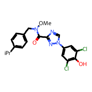 CON(Cc1ccc(C(C)C)cc1)C(=O)c1ncn(-c2cc(Cl)c(O)c(Cl)c2)n1